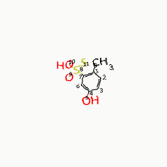 Cc1ccc(O)cc1S(=O)(O)=S